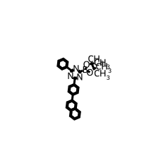 CC1(C)OB(c2nc(-c3ccccc3)nc(-c3ccc(-c4ccc5ccccc5c4)cc3)n2)OC1(C)C